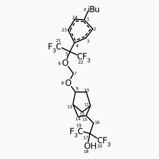 CCC(C)c1ccc(C(OCOC2CC3CC2CC3CC(O)(C(F)(F)F)C(F)(F)F)(C(F)(F)F)C(F)(F)F)cc1